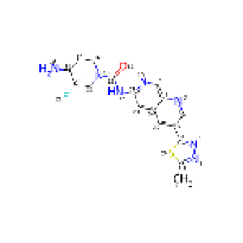 Cc1nnc(-c2cnc3cnc(NC(=O)N4CC[C@H](N)[C@@H](F)C4)cc3c2)s1